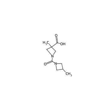 CC1CN(C(=O)N2CC(C)(C(=O)O)C2)C1